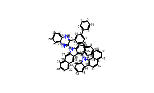 c1ccc(-c2cc(-c3ccccc3)cc(-c3nc4ccccc4nc3-n3c4cc5ccccc5cc4c4c(-n5c6ccccc6c6ccc7ccccc7c65)cccc43)c2)cc1